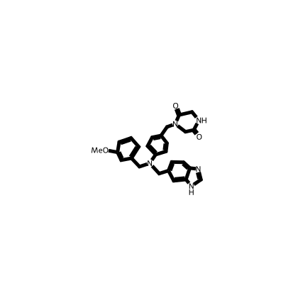 COc1cccc(CN(Cc2ccc3nc[nH]c3c2)c2ccc(CN3CC(=O)NCC3=O)cc2)c1